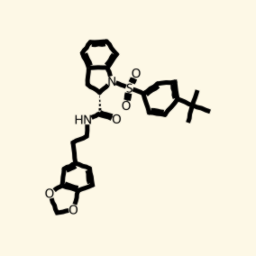 CC(C)(C)c1ccc(S(=O)(=O)N2c3ccccc3C[C@H]2C(=O)NCCc2ccc3c(c2)OCO3)cc1